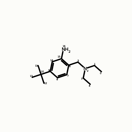 CCN(CC)Cc1ccc(C(C)(C)C)cc1N